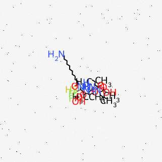 CCC(C)[C@H](NC(=O)[C@@H](NC(=O)[C@@H](CS)NC(=O)CCCCCCCCCCCN)C(C)C)C(=O)N[C@@H](CC(C)C)C(=O)O.O=C(O)C(F)(F)F